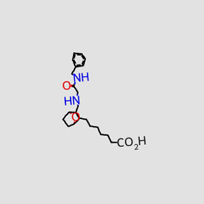 O=C(O)CCCCCCC1C2CCC(O2)C1CNCC(=O)NCc1ccccc1